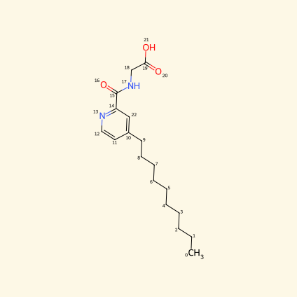 CCCCCCCCCCc1ccnc(C(=O)NCC(=O)O)c1